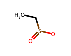 CCS([O])=O